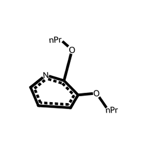 CCCOc1cccnc1OCCC